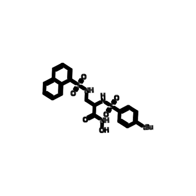 CC(C)(C)c1ccc(S(=O)(=O)NC(CNS(=O)(=O)c2cccc3ccccc23)C(=O)NO)cc1